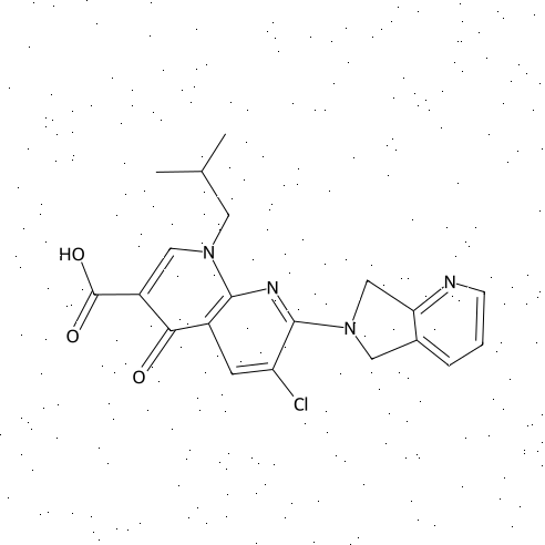 CC(C)Cn1cc(C(=O)O)c(=O)c2cc(Cl)c(N3Cc4cccnc4C3)nc21